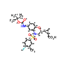 CC(C)(OC(=O)Nc1ccc2c(c1)N(S(=O)(=O)c1ccc(F)c(C(F)(F)F)c1)C[C@H]([C@H]1C[C@H]1C(=O)O)O2)C(F)(F)F